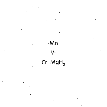 [Cr].[MgH2].[Mn].[V]